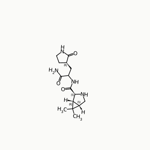 CC1(C)[C@@H]2[C@@H](C(=O)NC(C[C@H]3CCNC3=O)C(N)=O)NC[C@@H]21